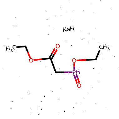 CCOC(=O)C[PH](=O)OCC.[NaH]